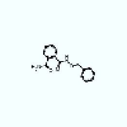 NC(=O)c1ccccc1C(=O)NOCc1ccccc1